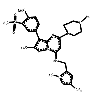 COc1ccc(-c2c(C)nn3c(NCc4cc(C)nn4C)cc(N4CCN(C(C)=O)CC4)nc23)cc1S(C)(=O)=O